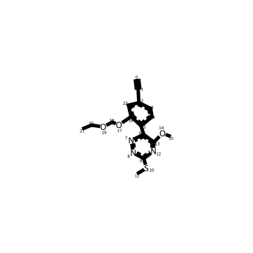 C#Cc1ccc(-c2nnc(SC)nc2OC)c(OCOCC)c1